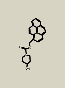 O=C(OCc1ccc2ccc3cccc4ccc1c2c34)N1CCC(O)CC1